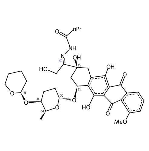 CCCC(=O)N/N=C(/CO)[C@]1(O)Cc2c(O)c3c(c(O)c2[C@@H](O[C@H]2CC[C@H](O[C@@H]4CCCCO4)[C@H](C)O2)C1)C(=O)c1c(OC)cccc1C3=O